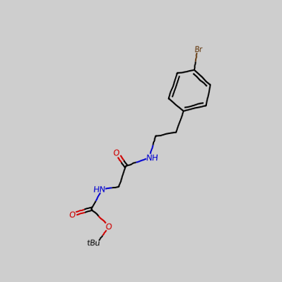 CC(C)(C)OC(=O)NCC(=O)NCCc1ccc(Br)cc1